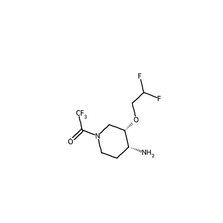 N[C@@H]1CCN(C(=O)C(F)(F)F)C[C@@H]1OCC(F)F